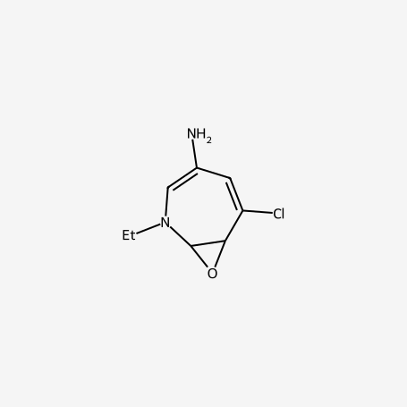 CCN1C=C(N)C=C(Cl)C2OC21